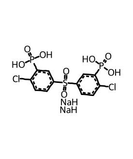 O=P(O)(O)c1cc(S(=O)(=O)c2ccc(Cl)c(P(=O)(O)O)c2)ccc1Cl.[NaH].[NaH]